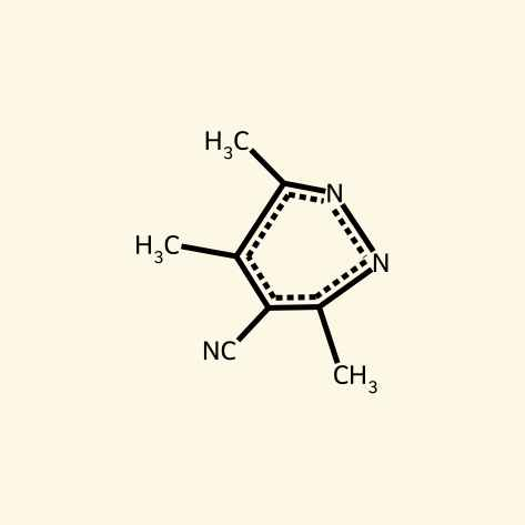 Cc1nnc(C)c(C#N)c1C